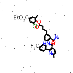 CCOC(=O)c1cc(C)c(OC(=O)CCCc2ccc(NC(=O)c3ccc(C)nc3-c3ccc(C(F)(F)F)cc3)c(C(=O)N(C)C)c2)c(Cl)c1